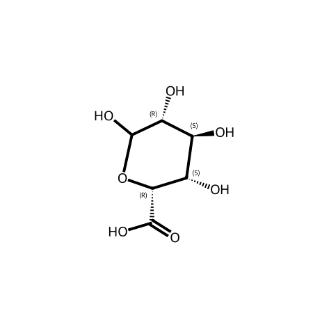 O=C(O)[C@@H]1OC(O)[C@H](O)[C@@H](O)[C@@H]1O